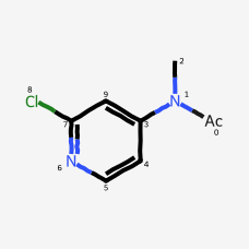 CC(=O)N(C)c1ccnc(Cl)c1